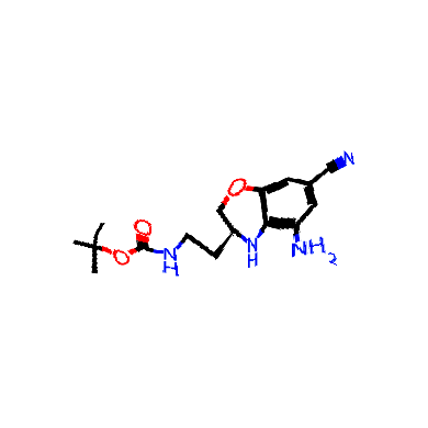 CC(C)(C)OC(=O)NCC[C@H]1COc2cc(C#N)cc(N)c2N1